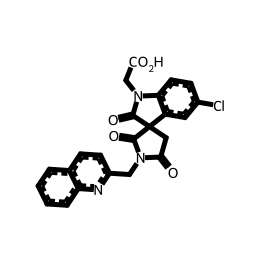 O=C(O)CN1C(=O)C2(CC(=O)N(Cc3ccc4ccccc4n3)C2=O)c2cc(Cl)ccc21